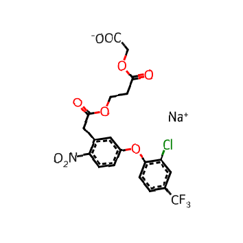 O=C([O-])COC(=O)CCOC(=O)Cc1cc(Oc2ccc(C(F)(F)F)cc2Cl)ccc1[N+](=O)[O-].[Na+]